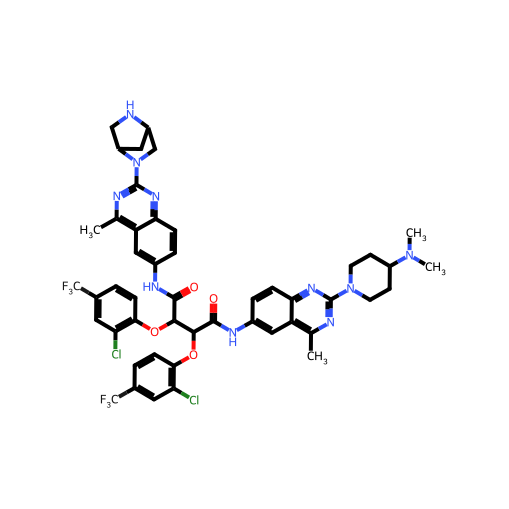 Cc1nc(N2CCC(N(C)C)CC2)nc2ccc(NC(=O)C(Oc3ccc(C(F)(F)F)cc3Cl)C(Oc3ccc(C(F)(F)F)cc3Cl)C(=O)Nc3ccc4nc(N5CC6CC5CN6)nc(C)c4c3)cc12